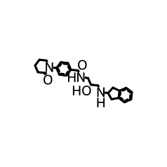 O=C(NCC(O)CNC1Cc2ccccc2C1)c1ccc(N2CCCCC2=O)cc1